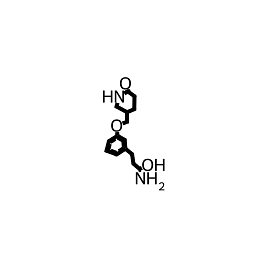 N[C@H](O)CCc1cccc(OCC2CCC(=O)NC2)c1